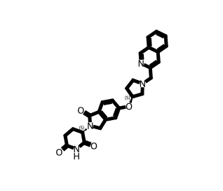 O=C1CC[C@H](N2Cc3cc(O[C@H]4CCN(Cc5cc6ccccc6cn5)C4)ccc3C2=O)C(=O)N1